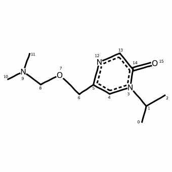 CC(C)n1cc(COCN(C)C)ncc1=O